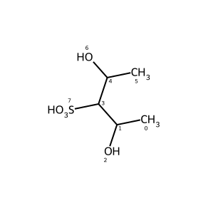 CC(O)C(C(C)O)S(=O)(=O)O